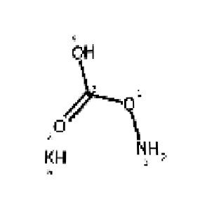 NOC(=O)O.[KH]